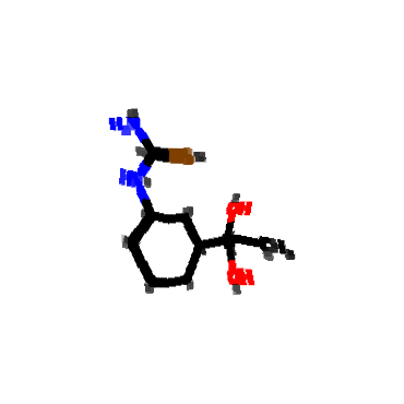 C[Si](O)(O)C1CCCC(NC(N)=S)C1